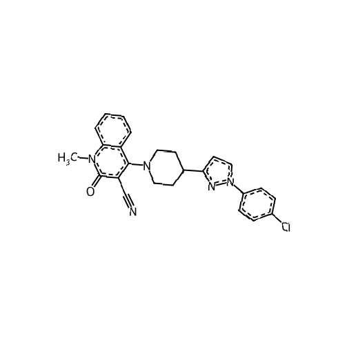 Cn1c(=O)c(C#N)c(N2CCC(c3ccn(-c4ccc(Cl)cc4)n3)CC2)c2ccccc21